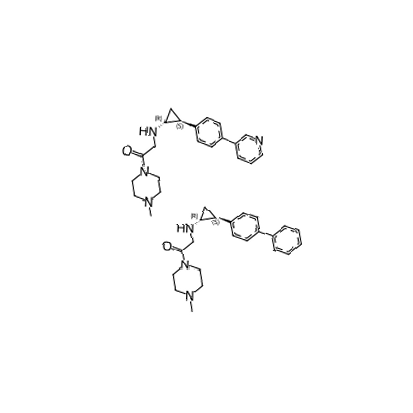 CN1CCN(C(=O)CN[C@@H]2C[C@H]2c2ccc(-c3ccccc3)cc2)CC1.CN1CCN(C(=O)CN[C@@H]2C[C@H]2c2ccc(-c3cccnc3)cc2)CC1